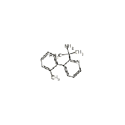 Cc1ccccc1-c1cccnc1C(C)(N)C(=O)O